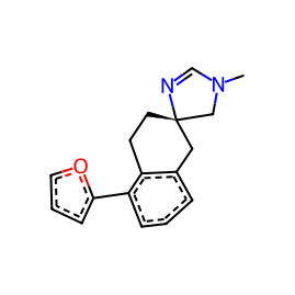 CN1C=N[C@]2(CCc3c(cccc3-c3ccco3)C2)C1